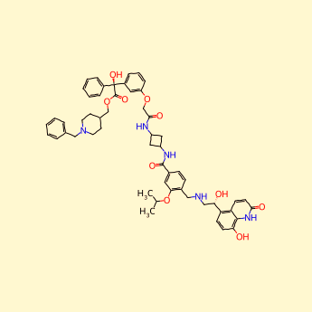 CC(C)Oc1cc(C(=O)NC2CC(NC(=O)COc3cccc([C@](O)(C(=O)OCC4CCN(Cc5ccccc5)CC4)c4ccccc4)c3)C2)ccc1CNC[C@H](O)c1ccc(O)c2[nH]c(=O)ccc12